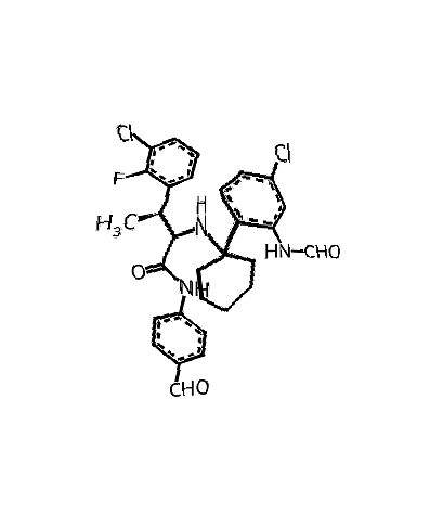 C[C@@H](c1cccc(Cl)c1F)C(NC1(c2ccc(Cl)cc2NC=O)CCCCC1)C(=O)Nc1ccc(C=O)cc1